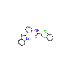 O=C(/C=C/c1ccccc1Cl)Nc1cccc(-c2nc3ccccc3[nH]2)c1